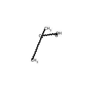 CCCCCCCCCCCCCCCCCCCCCC(=O)C(CCCCCC)CCCCCCCCCCC(=O)O